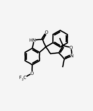 Cc1noc(C)c1CC1(c2ccccc2)C(=O)Nc2ccc(OC(F)(F)F)cc21